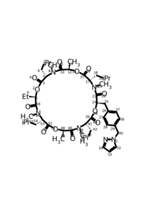 CC[C@H]1OC(=O)[C@H](CC(C)C)N(C)C(=O)[C@@H](C)OC(=O)[C@H](CC(C)C)N(C)C(=O)[C@@H](Cc2ccc(Cn3cccn3)cc2)OC(=O)[C@H](CC(C)C)N(C)C(=O)[C@@H](C)OC(=O)[C@H](CC(C)C)N(C)C1=O